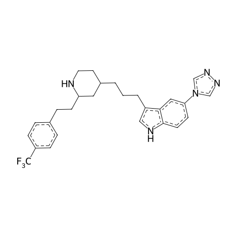 FC(F)(F)c1ccc(CCC2CC(CCCc3c[nH]c4ccc(-n5cnnc5)cc34)CCN2)cc1